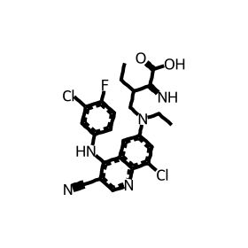 CCC(CN(CC)c1cc(Cl)c2ncc(C#N)c(Nc3ccc(F)c(Cl)c3)c2c1)C(=N)C(=O)O